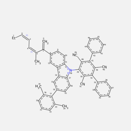 C=C(/C(C)=C\C=C/CC)c1ccc2c(c1)c1cc(-c3c(C)cccc3C)ccc1n2-c1c(C#N)c(-c2ccccc2)c(C#N)c(-c2ccccc2)c1C#N